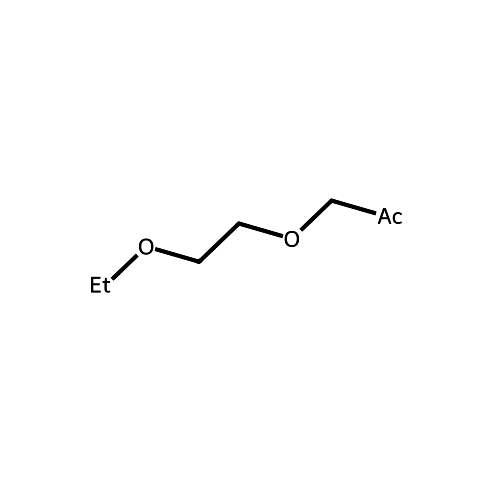 CCOCCOCC(C)=O